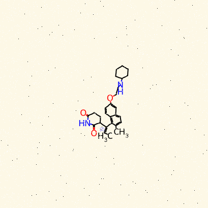 C/C=C(\c1c(C)ccc2cc(OCCNC3CCCCC3)ccc12)C1CCC(=O)NC1=O